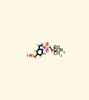 C[Si](C)(C)CCS(=O)(=O)n1ccc2cc(CO)ccc21